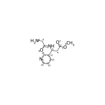 COC(=O)CC(NC(=O)CN)c1cccnc1